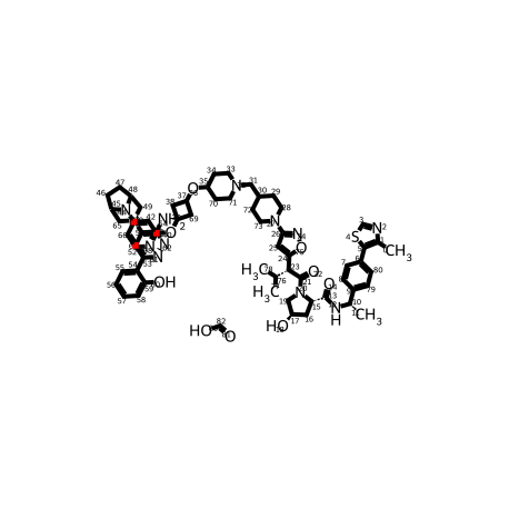 Cc1ncsc1-c1ccc([C@H](C)NC(=O)[C@@H]2C[C@@H](O)CN2C(=O)[C@@H](c2cc(N3CCC(CN4CCC(OC5CC(Oc6cc(N7C8CCC7CN(c7cc(-c9ccccc9O)nnc7N)C8)ccn6)C5)CC4)CC3)no2)C(C)C)cc1.O=CO